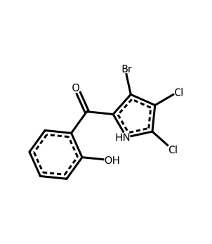 O=C(c1ccccc1O)c1[nH]c(Cl)c(Cl)c1Br